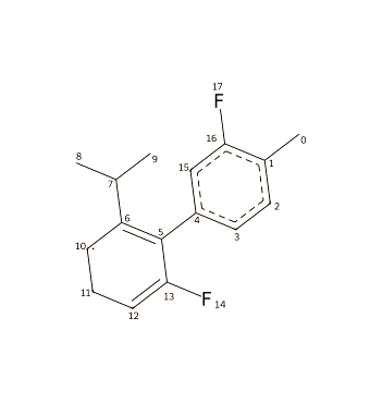 Cc1ccc(C2=C(C(C)C)[CH]CC=C2F)cc1F